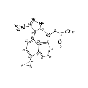 O=C([O-])CSc1nnc(Br)n1-c1ccc(C2CC2)c2ccccc12.[K+]